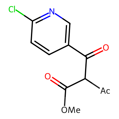 COC(=O)C(C(C)=O)C(=O)c1ccc(Cl)nc1